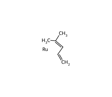 C=CC=C(C)C.[Ru]